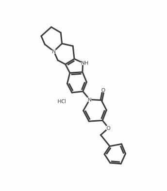 Cl.O=c1cc(OCc2ccccc2)ccn1-c1ccc2c3c([nH]c2c1)CC1CCCCN1C3